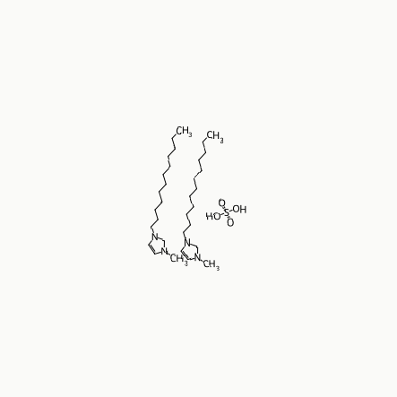 CCCCCCCCCCCCN1C=CN(C)C1.CCCCCCCCCCCCN1C=CN(C)C1.O=S(=O)(O)O